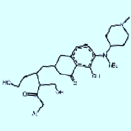 CCCCN(c1ccc2c(c1O)C(=O)CC(CC(CCO)C(CO)C(=O)CC(C)=O)C2)C1CCN(C)CC1